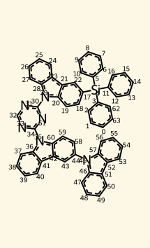 c1ccc([Si](c2ccccc2)(c2ccccc2)c2ccc3c(c2)c2ccccc2n3-c2ncnc(-n3c4ccccc4c4cc(-n5c6ccccc6c6ccccc65)ccc43)n2)cc1